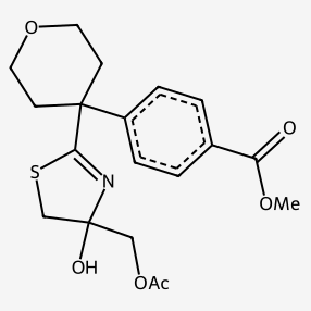 COC(=O)c1ccc(C2(C3=NC(O)(COC(C)=O)CS3)CCOCC2)cc1